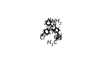 Cc1nnc(-c2ccc3nc(-c4cccnc4N)n(-c4ccc(CCl)cc4)c3n2)o1